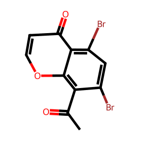 CC(=O)c1c(Br)cc(Br)c2c(=O)ccoc12